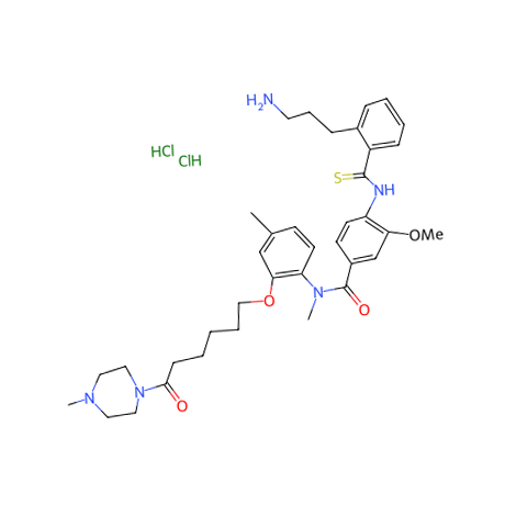 COc1cc(C(=O)N(C)c2ccc(C)cc2OCCCCCC(=O)N2CCN(C)CC2)ccc1NC(=S)c1ccccc1CCCN.Cl.Cl